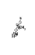 CON(Cc1ccc(-c2noc(C(F)(F)F)n2)cc1)C(=O)Cc1ccc(C#N)cc1